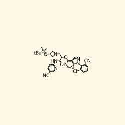 CC(C)(C)[Si](C)(C)OC1CN(CC(Oc2ncnc3c2cnn3-c2c(Cl)cccc2C#N)C(=O)Nc2ccc(C#N)cn2)C1